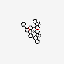 CC1(C)c2ccccc2-c2c(-c3ccccc3N(c3ccccc3-c3ccc(-c4ccccc4)cc3)c3cccc4oc5c6ccccc6ccc5c34)cccc21